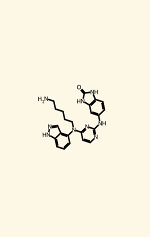 NCCCCCN(c1ccnc(Nc2ccc3[nH]c(=O)[nH]c3c2)n1)c1cccc2[nH]ncc12